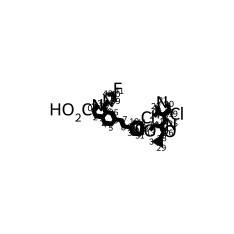 O=C(O)c1cc2ccc(C=CC34CCC(OCc5c(-c6c(Cl)cncc6Cl)noc5C5CC5)(CC3)CC4)cc2c(N2CC(F)C2)n1